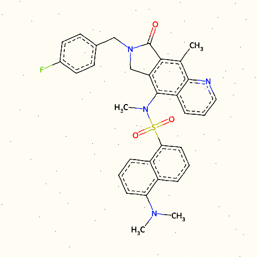 Cc1c2c(c(N(C)S(=O)(=O)c3cccc4c(N(C)C)cccc34)c3cccnc13)CN(Cc1ccc(F)cc1)C2=O